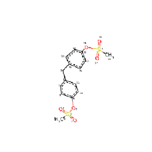 CS(=O)(=O)Oc1ccc(Cc2ccc(OS(C)(=O)=O)cc2)cc1